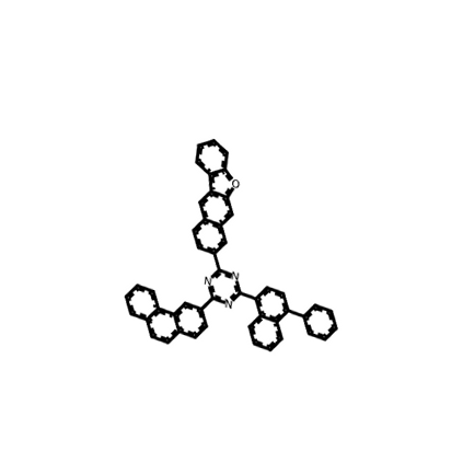 c1ccc(-c2ccc(-c3nc(-c4ccc5cc6c(cc5c4)oc4ccccc46)nc(-c4ccc5ccc6ccccc6c5c4)n3)c3ccccc23)cc1